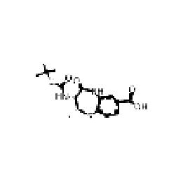 C[C@H]1Sc2ccc(C(=O)O)cc2NC(=O)[C@H]1NC(=O)OC(C)(C)C